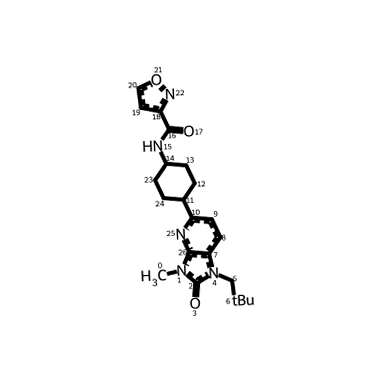 Cn1c(=O)n(CC(C)(C)C)c2ccc(C3CCC(NC(=O)c4ccon4)CC3)nc21